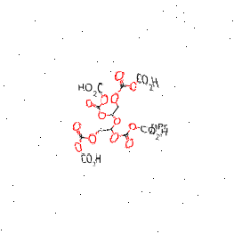 CCCC.O=C(O)OC(=O)OCC(OC(=O)OC(=O)O)OC(COC(=O)OC(=O)O)OC(=O)OC(=O)O